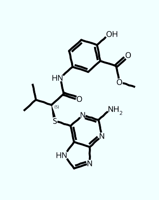 COC(=O)c1cc(NC(=O)[C@@H](Sc2nc(N)nc3nc[nH]c23)C(C)C)ccc1O